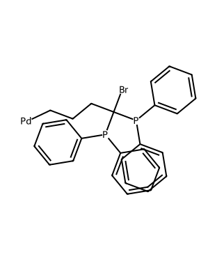 BrC(CC[CH2][Pd])(P(c1ccccc1)c1ccccc1)P(c1ccccc1)c1ccccc1